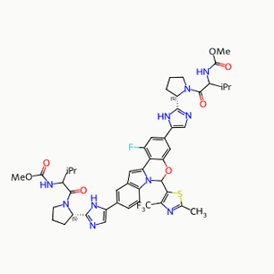 COC(=O)NC(C(=O)N1CCC[C@H]1c1ncc(-c2cc(F)c3c(c2)OC(c2sc(C)nc2C(F)(F)F)n2c-3cc3cc(-c4cnc([C@@H]5CCCN5C(=O)C(NC(=O)OC)C(C)C)[nH]4)ccc32)[nH]1)C(C)C